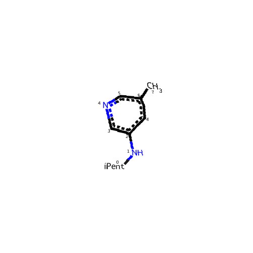 CCCC(C)Nc1cncc(C)c1